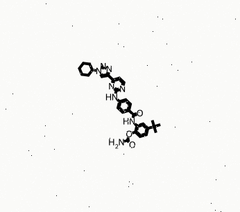 CC(C)(C)c1ccc(OC(N)=O)c(NC(=O)c2ccc(Nc3nccc(-c4cn(C5CCCCC5)nn4)n3)cc2)c1